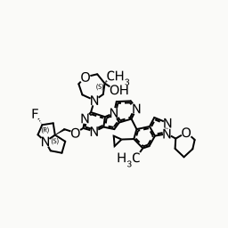 Cc1cc2c(cnn2C2CCCCO2)c(-c2nccn3c2cc2nc(OC[C@@]45CCCN4C[C@H](F)C5)nc(N4CCOC[C@@](C)(O)C4)c23)c1C1CC1